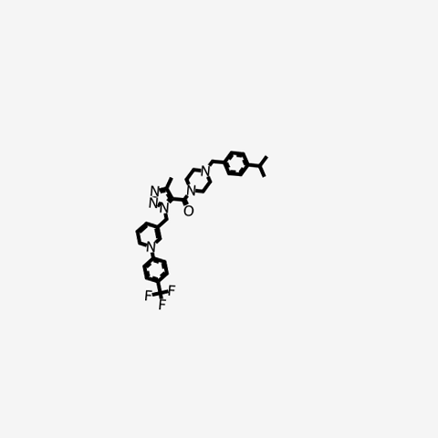 Cc1nnn(CC2=CN(c3ccc(C(F)(F)F)cc3)CC=C2)c1C(=O)N1CCN(Cc2ccc(C(C)C)cc2)CC1